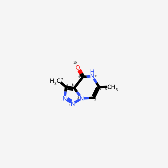 Cc1cn2nnc(C)c2c(=O)[nH]1